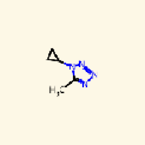 Cc1nnnn1C1CC1